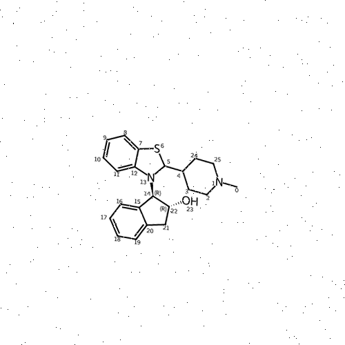 CN1CCC(C2Sc3ccccc3N2[C@@H]2c3ccccc3C[C@H]2O)CC1